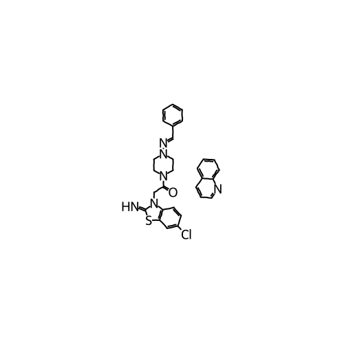 N=c1sc2cc(Cl)ccc2n1CC(=O)N1CCN(N=Cc2ccccc2)CC1.c1ccc2ncccc2c1